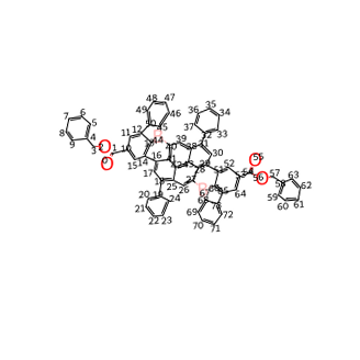 O=C(OCc1ccccc1)c1cc2c3c(c1)-c1cc(-c4ccccc4)c4cc5c6c(cc(-c7ccccc7)c7cc(c1c4c76)B3c1ccccc1-2)-c1cc(C(=O)OCc2ccccc2)cc2c1B5c1ccccc1-2